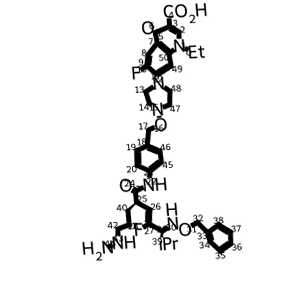 CCn1cc(C(=O)O)c(=O)c2cc(F)c(N3CCN(OCc4ccc(NC(=O)[C@@H](/C=C(\F)[C@@H](NOCc5ccccc5)C(C)C)CCCNN)cc4)CC3)cc21